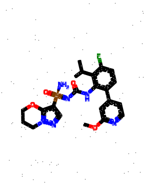 COc1cc(-c2ccc(F)c(C(C)C)c2NC(=O)N=[S@@](N)(=O)c2cnn3c2OCCC3)ccn1